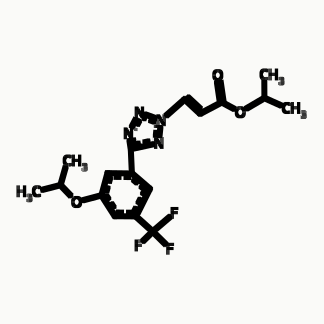 CC(C)OC(=O)C=Cn1nnc(-c2cc(OC(C)C)cc(C(F)(F)F)c2)n1